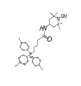 Cc1ccc([PH](CCCCC(=O)NC2CC(C)(C)N(O)C(C)(C)C2)(c2ccc(C)cc2)c2ccc(C)cc2)cc1